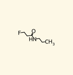 CCCNC(=O)CCF